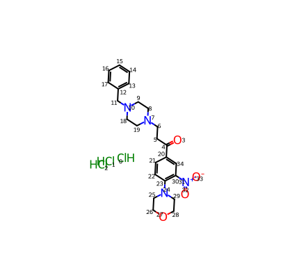 Cl.Cl.Cl.O=C(CCN1CCN(Cc2ccccc2)CC1)c1ccc(N2CCOCC2)c([N+](=O)[O-])c1